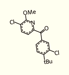 COc1nc(C(=O)c2ccc(C(C)(C)C)c(Cl)c2)ccc1Cl